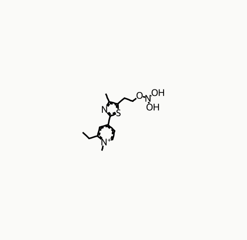 CCc1cc(-c2nc(C)c(CCON(O)O)s2)cc[n+]1C